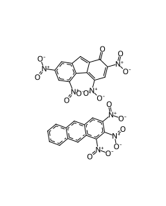 O=C1C2=Cc3cc([N+](=O)[O-])cc([N+](=O)[O-])c3C2=C([N+](=O)[O-])C=C1[N+](=O)[O-].O=[N+]([O-])c1cc2cc3ccccc3cc2c([N+](=O)[O-])c1[N+](=O)[O-]